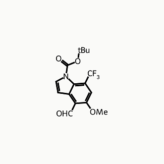 COc1cc(C(F)(F)F)c2c(ccn2C(=O)OC(C)(C)C)c1C=O